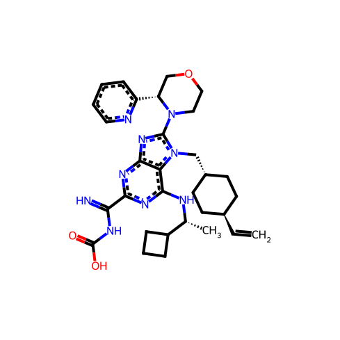 C=C[C@H]1CC[C@H](Cn2c(N3CCOC[C@H]3c3ccccn3)nc3nc(C(=N)NC(=O)O)nc(N[C@H](C)C4CCC4)c32)CC1